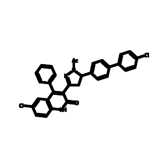 CC(=O)N1N=C(c2c(-c3ccccc3)c3cc(Cl)ccc3[nH]c2=O)CC1c1ccc(-c2ccc(Cl)cc2)cc1